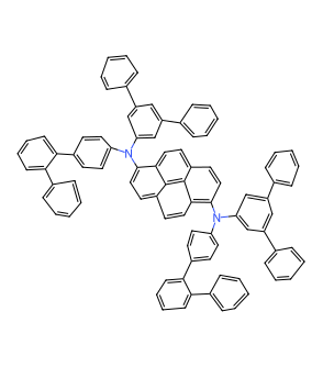 c1ccc(-c2cc(-c3ccccc3)cc(N(c3ccc(-c4ccccc4-c4ccccc4)cc3)c3ccc4ccc5c(N(c6ccc(-c7ccccc7-c7ccccc7)cc6)c6cc(-c7ccccc7)cc(-c7ccccc7)c6)ccc6ccc3c4c65)c2)cc1